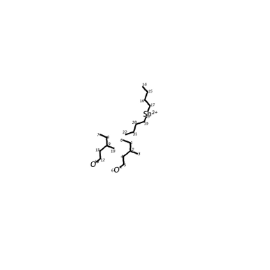 CCC(C)CC[O-].CCC(C)CC[O-].CCC[CH2][Sn+2][CH2]CCC